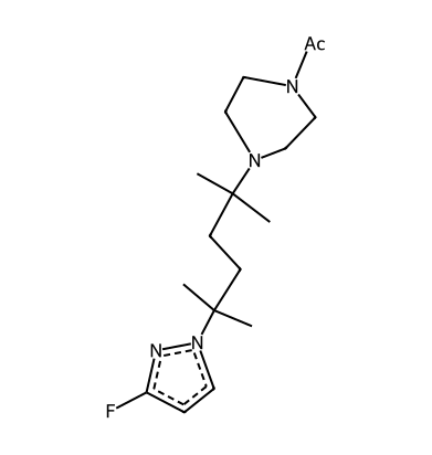 CC(=O)N1CCN(C(C)(C)CCC(C)(C)n2ccc(F)n2)CC1